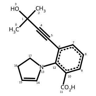 CC(C)(O)C#Cc1cccc(C(=O)O)c1N1C=CCC1